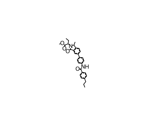 CCCc1ccc(C(=O)Nc2ccc(-c3ccc4c(c3)C(=O)N(C(CC)C(=O)OC)C4C)cc2)cc1